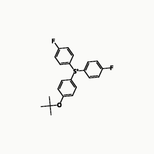 CC(C)(C)Oc1ccc([S+](c2ccc(F)cc2)c2ccc(F)cc2)cc1